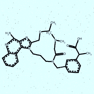 CCOCc1nc2c(N)nc3ccccc3c2n1CCCN(Cc1cccc(C(C)C(=O)O)c1)C(=O)CN(C)C